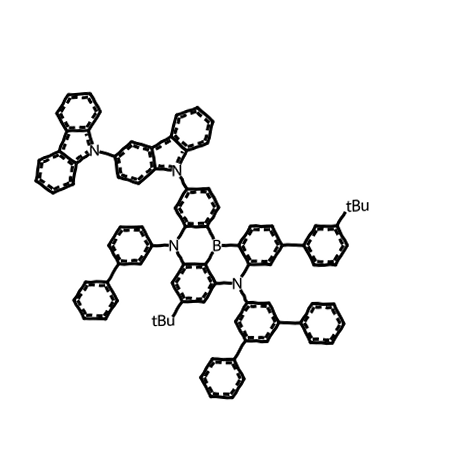 CC(C)(C)c1cccc(-c2ccc3c(c2)N(c2cc(-c4ccccc4)cc(-c4ccccc4)c2)c2cc(C(C)(C)C)cc4c2B3c2ccc(-n3c5ccccc5c5cc(-n6c7ccccc7c7ccccc76)ccc53)cc2N4c2cccc(-c3ccccc3)c2)c1